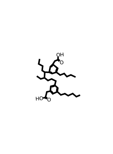 CCCCCCc1cc(CCCC(CC)C(CCCC)c2cc(CCCCC)cc(CC(=O)O)c2)cc(CC(=O)O)c1